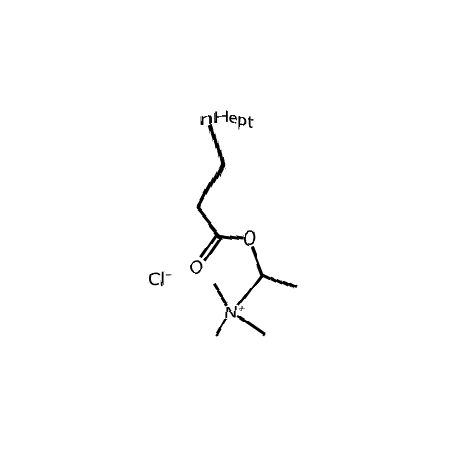 CCCCCCCCCC(=O)OC(C)[N+](C)(C)C.[Cl-]